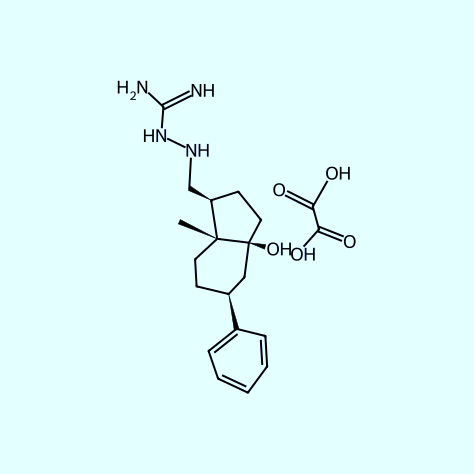 C[C@]12CC[C@H](c3ccccc3)C[C@@]1(O)CC[C@@H]2CNNC(=N)N.O=C(O)C(=O)O